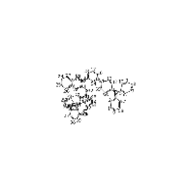 c1ccc(P(c2ccccc2)c2ccc(-c3cccc(-c4nc5ccccc5c5c6c(ccc45)C4(c5ccccc5Sc5ccccc54)c4ccccc4-6)c3)cc2)cc1